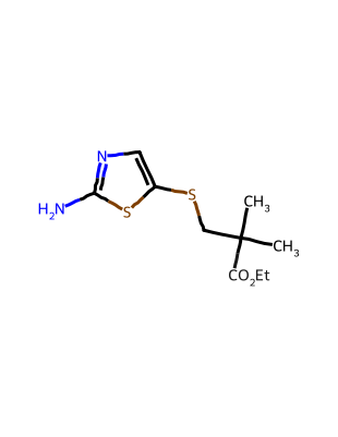 CCOC(=O)C(C)(C)CSc1cnc(N)s1